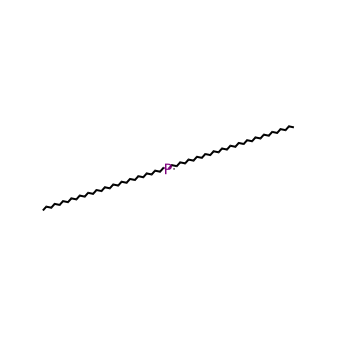 CCCCCCCCCCCCCCCCCCCCCCCCCCCCCC[P]CCCCCCCCCCCCCCCCCCCCCCCCCCCCCC